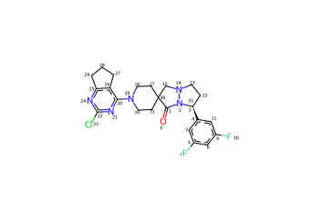 O=C1N2[C@H](c3cc(F)cc(F)c3)CCN2CC12CCN(c1nc(Cl)nc3c1CCC3)CC2